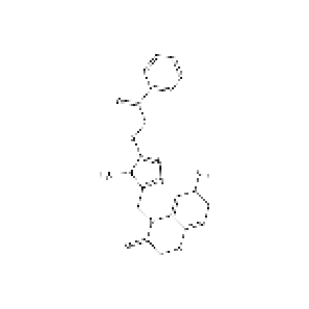 Cn1c(CN2C(=O)CSC3=CCC(C(F)(F)F)C=C32)nnc1SCC(=O)c1ccccc1